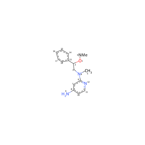 CNOC(CN(C)c1cc(N)ccn1)c1ccccc1